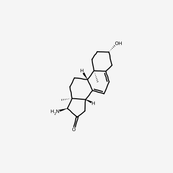 C[C@]12CC[C@H]3C(=CC=C4C[C@@H](O)CC[C@@]43C)[C@@H]1CC(=O)[C@H]2N